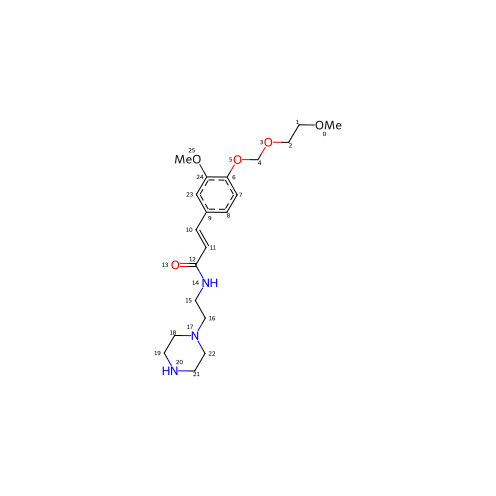 COCCOCOc1ccc(/C=C/C(=O)NCCN2CCNCC2)cc1OC